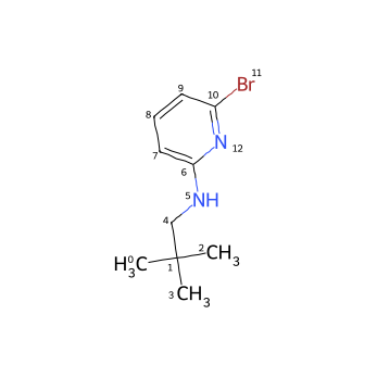 CC(C)(C)CNc1cccc(Br)n1